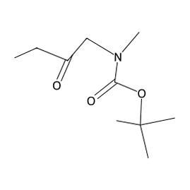 CCC(=O)CN(C)C(=O)OC(C)(C)C